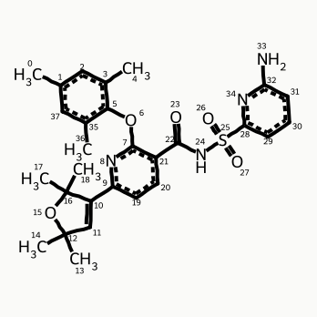 Cc1cc(C)c(Oc2nc(C3=CC(C)(C)OC3(C)C)ccc2C(=O)NS(=O)(=O)c2cccc(N)n2)c(C)c1